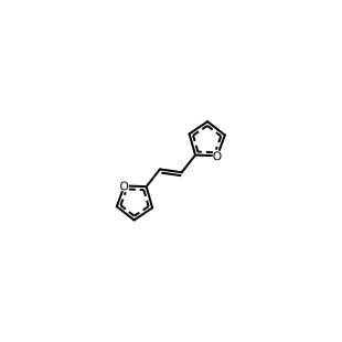 C(=C\c1ccco1)/c1ccco1